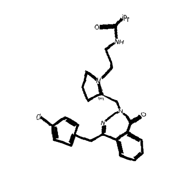 CC(C)C(=O)NCCN1CCC[C@@H]1Cn1nc(Cc2ccc(Cl)cc2)c2ccccc2c1=O